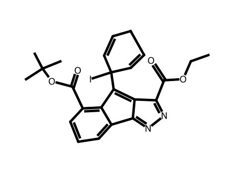 CCOC(=O)C1=NN=C2C1=C(C1(I)C=CCC=C1)c1c(C(=O)OC(C)(C)C)cccc12